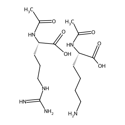 CC(=O)N[C@@H](CCCCN)C(=O)O.CC(=O)N[C@@H](CCCNC(=N)N)C(=O)O